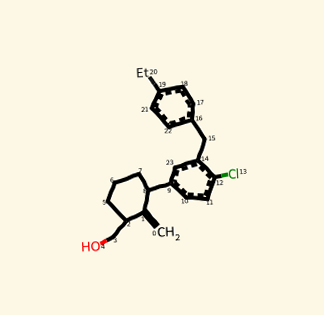 C=C1C(CO)CCCC1c1ccc(Cl)c(Cc2ccc(CC)cc2)c1